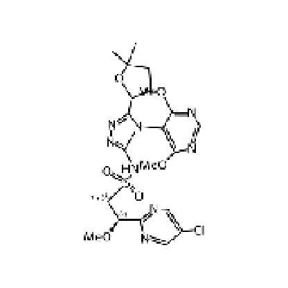 COc1ncnc(OC)c1-n1c(NS(=O)(=O)[C@@H](C)[C@H](OC)c2ncc(Cl)cn2)nnc1C1CCC(C)(C)O1